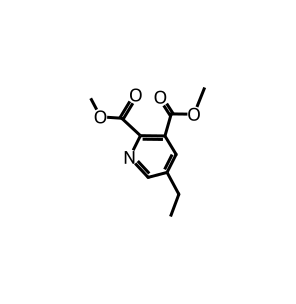 CCc1cnc(C(=O)OC)c(C(=O)OC)c1